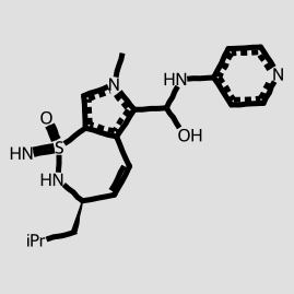 CC(C)C[C@@H]1C=Cc2c(cn(C)c2C(O)Nc2ccncc2)S(=N)(=O)N1